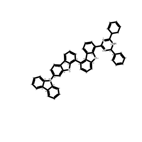 C1=CCC(C2=NC(c3cccc4c3oc3cccc(-c5cccc6c5oc5cc(-n7c8ccccc8c8ccccc87)ccc56)c34)=NC(c3ccccc3)N2)C=C1